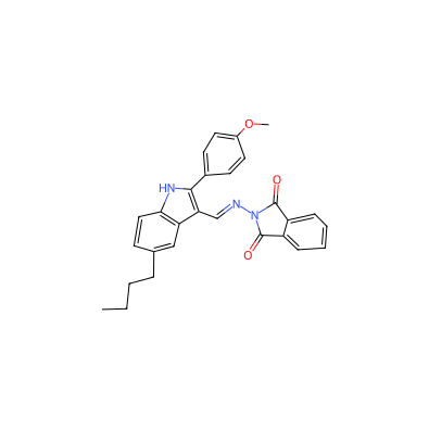 CCCCc1ccc2[nH]c(-c3ccc(OC)cc3)c(C=NN3C(=O)c4ccccc4C3=O)c2c1